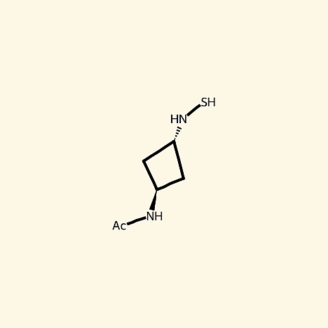 CC(=O)N[C@H]1C[C@H](NS)C1